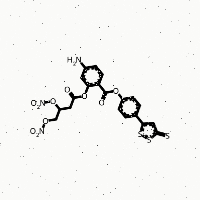 Nc1ccc(C(=O)Oc2ccc(-c3cc(=S)ss3)cc2)c(OC(=O)CC(CO[N+](=O)[O-])O[N+](=O)[O-])c1